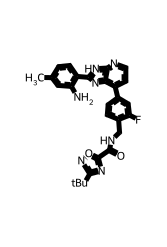 Cc1ccc(-c2nc3c(-c4ccc(CNC(=O)c5nc(C(C)(C)C)no5)c(F)c4)ccnc3[nH]2)c(N)c1